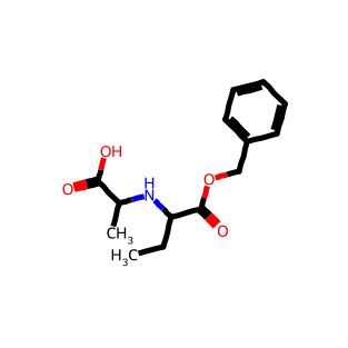 CCC(NC(C)C(=O)O)C(=O)OCc1ccccc1